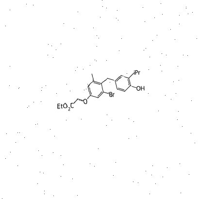 CCOC(=O)COc1cc(C)c(Cc2ccc(O)c(C(C)C)c2)c(Br)c1